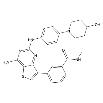 CNC(=O)c1cccc(-c2csc3c(N)nc(Nc4ccc(N5CCC(O)CC5)cc4)nc23)c1